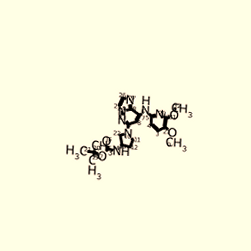 COc1ccc(Nc2cc(N3CCC(NC(=O)OC(C)(C)C)C3)nn3ccnc23)nc1OC